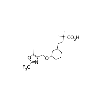 Cc1oc(C(F)(F)F)nc1COC1CCCC(CCC(C)(C)C(=O)O)C1